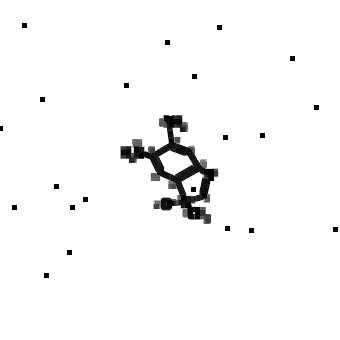 C[N+]1([O-])C=Nc2cc(N)c(N)cc21